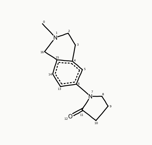 CN1CCc2cc(N3CCCC3=O)ccc2C1